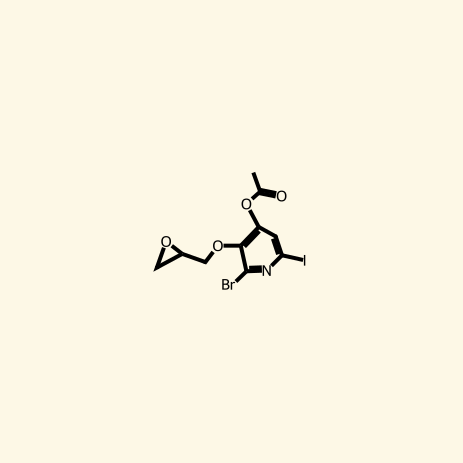 CC(=O)Oc1cc(I)nc(Br)c1OCC1CO1